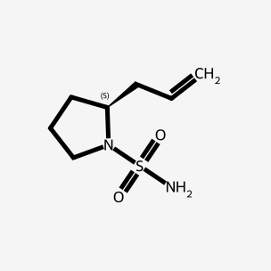 C=CC[C@@H]1CCCN1S(N)(=O)=O